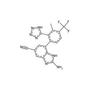 Cc1c(C(F)(F)F)ccc(-c2cc(C#N)cc3nc(N)[nH]c23)c1-c1nnn[nH]1